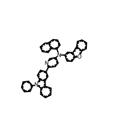 c1ccc(-n2c3ccccc3c3cc(-c4ccc(N(c5ccc6oc7ccccc7c6c5)c5cccc6ccccc56)cn4)ccc32)cc1